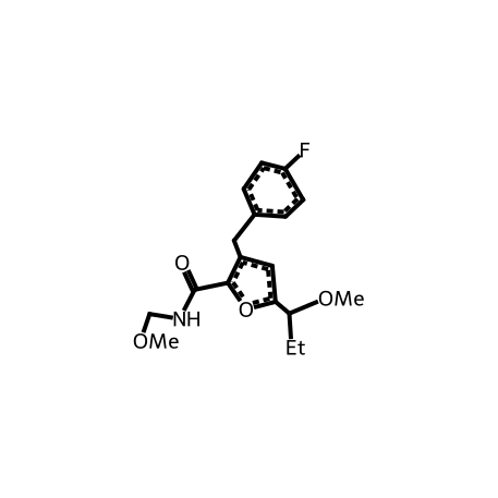 CCC(OC)c1cc(Cc2ccc(F)cc2)c(C(=O)NCOC)o1